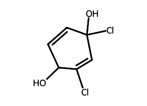 OC1C=CC(O)(Cl)C=C1Cl